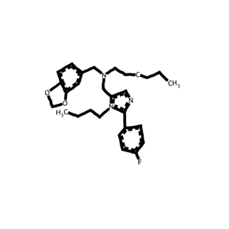 CCCCCCN(Cc1ccc2c(c1)OCO2)Cc1cnc(-c2ccc(F)cc2)n1CCCC